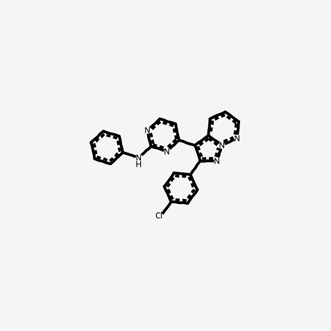 Clc1ccc(-c2nn3ncccc3c2-c2ccnc(Nc3ccccc3)n2)cc1